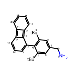 CC(C)(C)c1cc(CN)cc(C(C)(C)C)c1-c1cccc2c1=c1ccccc1=2